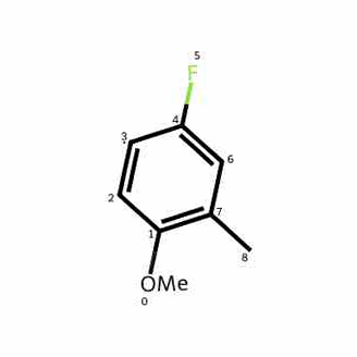 COc1c[c]c(F)cc1C